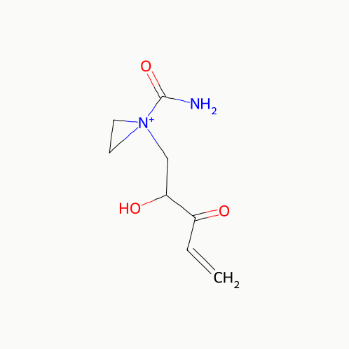 C=CC(=O)C(O)C[N+]1(C(N)=O)CC1